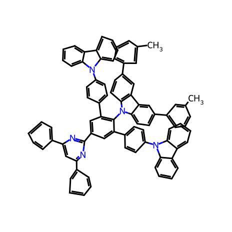 Cc1cccc(-c2ccc3c(c2)c2cc(-c4cccc(C)c4)ccc2n3-c2c(-c3ccc(-n4c5ccccc5c5ccccc54)cc3)cc(-c3nc(-c4ccccc4)cc(-c4ccccc4)n3)cc2-c2ccc(-n3c4ccccc4c4ccccc43)cc2)c1